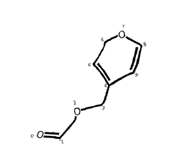 O=[C]OCC1=CCOC=C1